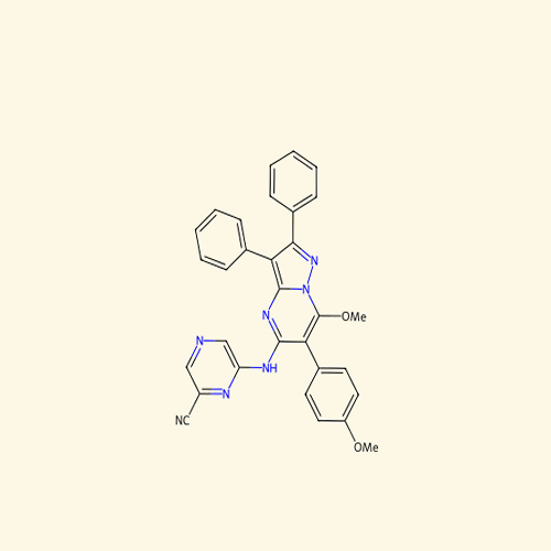 COc1ccc(-c2c(Nc3cncc(C#N)n3)nc3c(-c4ccccc4)c(-c4ccccc4)nn3c2OC)cc1